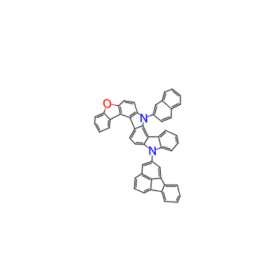 c1ccc2c(c1)-c1cccc3cc(-n4c5ccccc5c5c4ccc4c6c7c(ccc6n(-c6ccc8ccccc8c6)c45)oc4ccccc47)cc-2c13